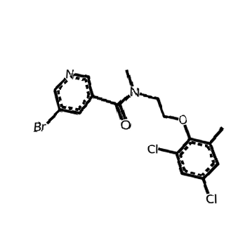 Cc1cc(Cl)cc(Cl)c1OCCN(C)C(=O)c1cncc(Br)c1